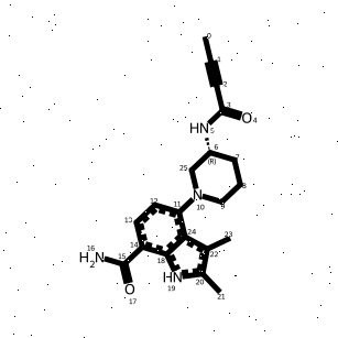 CC#CC(=O)N[C@@H]1CCCN(c2ccc(C(N)=O)c3[nH]c(C)c(C)c23)C1